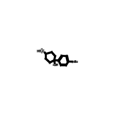 CCCCc1ccc(C2(O)CCC(C(=O)O)CC2)cc1